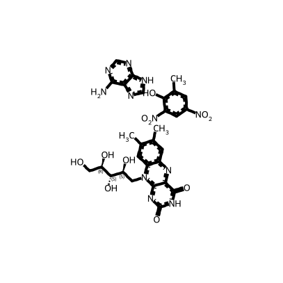 Cc1cc([N+](=O)[O-])cc([N+](=O)[O-])c1O.Cc1cc2nc3c(=O)[nH]c(=O)nc-3n(C[C@H](O)[C@H](O)[C@H](O)CO)c2cc1C.Nc1ncnc2[nH]cnc12